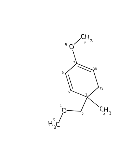 COCC1(C)C=CC(OC)=CC1